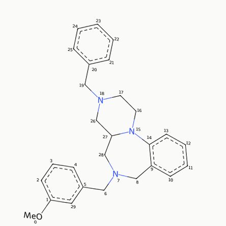 COc1cccc(CN2Cc3ccccc3N3CCN(Cc4ccccc4)CC3C2)c1